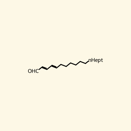 CCCCCCCCCCCCC/C=C/C=C/C=O